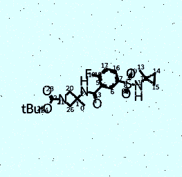 CC1(NC(=O)c2cc(S(=O)(=O)NC3(C)CC3)ccc2F)CN(C(=O)OC(C)(C)C)C1